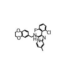 Cc1ccn2c(NCc3ccc4c(c3)OCCO4)c(-c3c(F)cccc3Cl)nc2c1